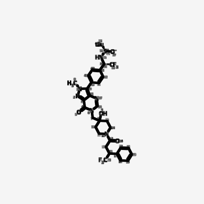 Cn1nc2c(=O)n(CC3(O)CCN(C(=O)CC(c4ccccc4)C(F)(F)F)CC3)cnc2c1-c1ccc([C@H](N[S@+]([O-])C(C)(C)C)C(F)(F)F)cc1